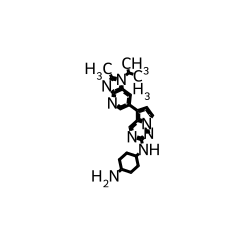 Cc1nc2ncc(-c3ccn4nc(NC5CCC(N)CC5)ncc34)cc2n1C(C)C